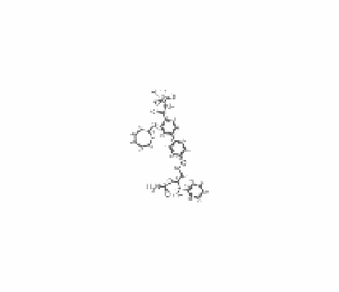 CS(=O)(=O)NC(=O)c1ccc(-c2ccc(OCCC(OC(N)=O)[C@H](O)c3ccccc3)cc2)cc1OC1CCCCCC1